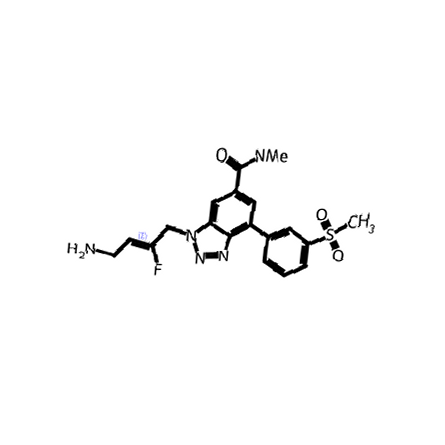 CNC(=O)c1cc(-c2cccc(S(C)(=O)=O)c2)c2nnn(C/C(F)=C/CN)c2c1